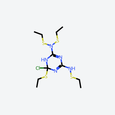 CCSNC1=NC(Cl)(SCC)NC(N(SCC)SCC)=N1